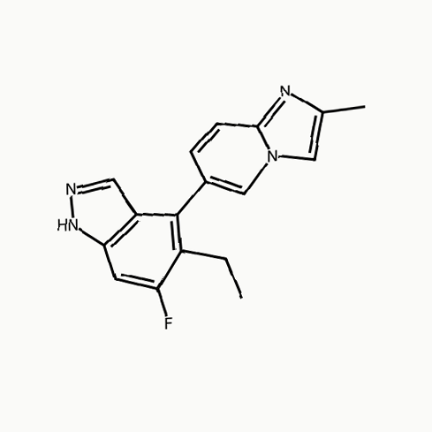 CCc1c(F)cc2[nH]ncc2c1-c1ccc2nc(C)cn2c1